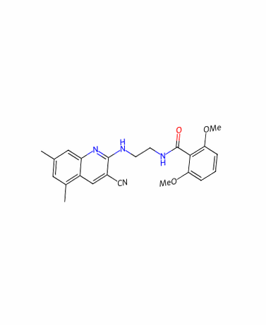 COc1cccc(OC)c1C(=O)NCCNc1nc2cc(C)cc(C)c2cc1C#N